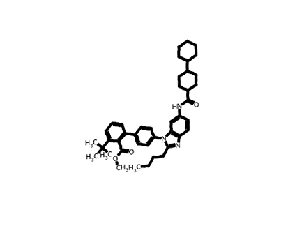 CCCCc1nc2ccc(NC(=O)C3CCC(C4CCCCC4)CC3)cc2n1-c1ccc(-c2cccc(C(C)(C)C)c2C(=O)OC)cc1